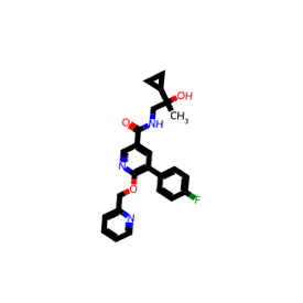 CC(O)(CNC(=O)c1cnc(OCc2ccccn2)c(-c2ccc(F)cc2)c1)C1CC1